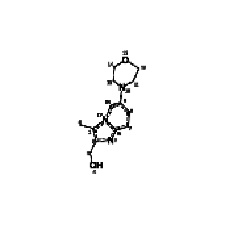 Cc1c(CO)nc2ccc(N3CCOCC3)cn12